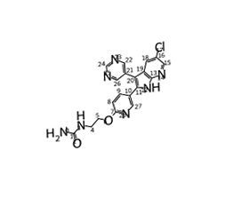 NC(=O)NCCOc1ccc(-c2[nH]c3ncc(Cl)cc3c2-c2cncnc2)cn1